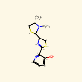 CN1[C@@H](C(=O)O)CS[C@@H]1[C@H]1CSC(c2ncccc2O)=N1